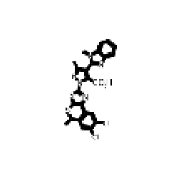 Cc1nn(-c2nc3c(s2)SC(C)c2cc(Cl)c(Cl)cc2-3)c(C(=O)O)c1-c1nc2ccccc2n1C